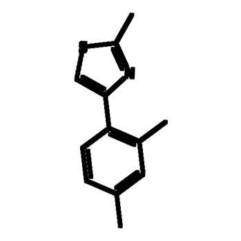 Cc1ccc(-c2csc(C)n2)c(C)c1